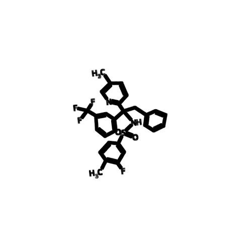 Cc1ccc(C(Cc2ccccc2)(NS(=O)(=O)c2ccc(C)c(F)c2)c2cccc(C(F)(F)F)c2)nc1